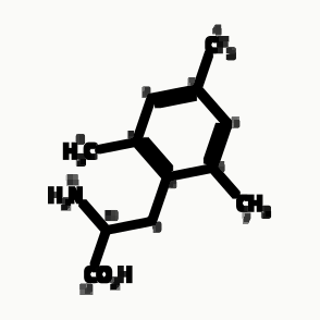 Cc1cc(C(F)(F)F)cc(C)c1CC(N)C(=O)O